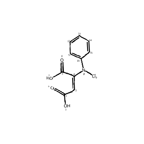 O=C(O)C=C(C(=O)O)N(Cl)c1ccccc1